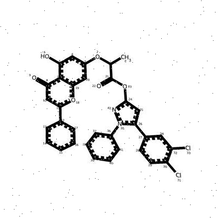 CC(Oc1cc(O)c2c(=O)cc(-c3ccccc3)oc2c1)C(=O)Oc1cc(-c2ccc(Cl)c(Cl)c2)n(-c2ccccc2)n1